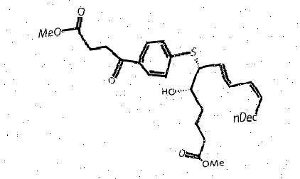 CCCCCCCCCC/C=C\C=C\[C@@H](Sc1ccc(C(=O)CCC(=O)OC)cc1)[C@@H](O)CCCC(=O)OC